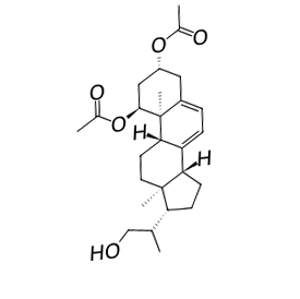 CC(=O)O[C@@H]1CC2=CC=C3[C@@H]4CC[C@H](C(C)CO)[C@@]4(C)CC[C@@H]3[C@@]2(C)[C@@H](OC(C)=O)C1